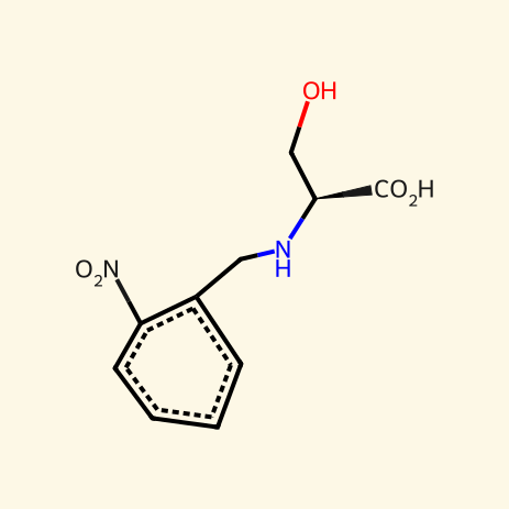 O=C(O)[C@H](CO)NCc1ccccc1[N+](=O)[O-]